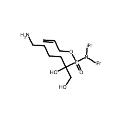 C=CCOP(=O)(N(C(C)C)C(C)C)C(O)(CO)CCCCN